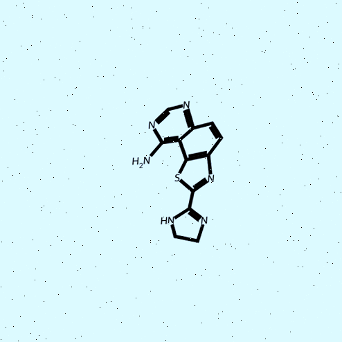 Nc1ncnc2ccc3nc(C4=NCCN4)sc3c12